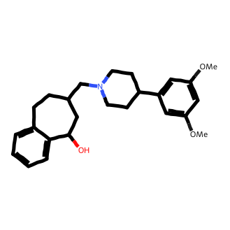 COc1cc(OC)cc(C2CCN(CC3CCc4ccccc4C(O)C3)CC2)c1